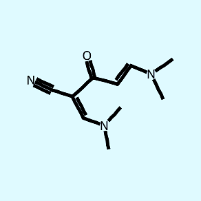 CN(C)/C=C(/C#N)C(=O)/C=C/N(C)C